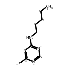 CCCCCNc1n[c]nc(F)n1